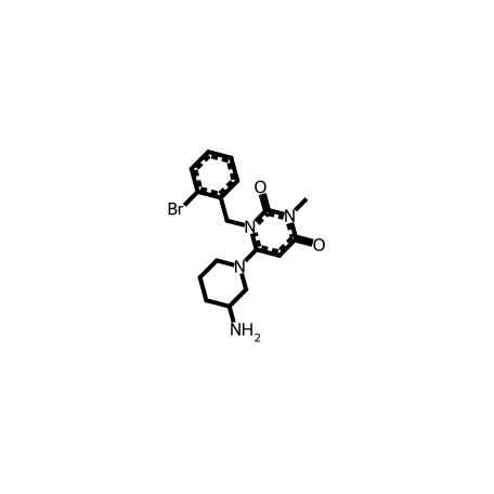 Cn1c(=O)cc(N2CCCC(N)C2)n(Cc2ccccc2Br)c1=O